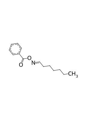 CCCCCCC=NOC(=O)c1ccccc1